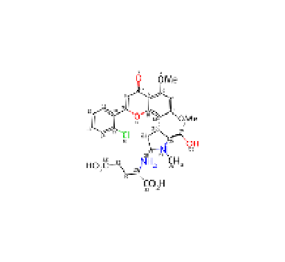 COc1cc(OC)c2c(=O)cc(-c3ccccc3Cl)oc2c1[C@H]1CCN(C)[C@@H]1CO.N[C@@H](CCC(=O)O)C(=O)O